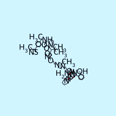 Cc1ncsc1-c1ccc([C@H](C)NC(=O)[C@@H]2CCCN2C(=O)C(c2cc(OCCN3CCN(CCOc4cc(N5C6CCC5CN(c5cc(-c7ccccc7O)nnc5N)C6)ccn4)[C@H](C)C3)no2)C(C)C)cc1